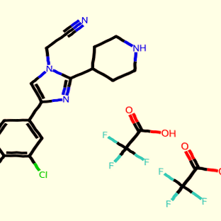 N#CCn1cc(-c2ccc(F)c(Cl)c2)nc1C1CCNCC1.O=C(O)C(F)(F)F.O=C(O)C(F)(F)F